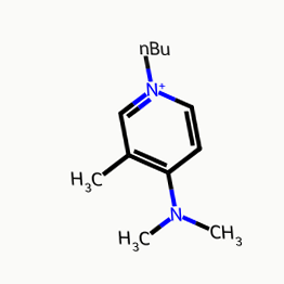 CCCC[n+]1ccc(N(C)C)c(C)c1